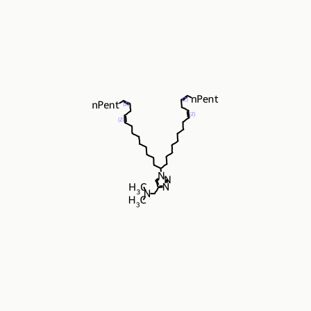 CCCCC/C=C\C/C=C\CCCCCCCCC(CCCCCCCC/C=C\C/C=C\CCCCC)n1cc(CN(C)C)nn1